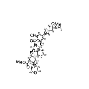 COC(=O)c1cc(F)c(-c2cccc3c2OCN(C(=O)c2c(Cl)cc(N4CC5(C4)CC(C)(OC)C5)cc2Cl)C3)cc1N1C2CCC1COC2